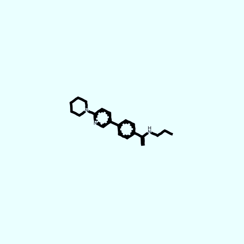 C=C(NCCC)c1ccc(-c2ccc(N3CCCCC3)nc2)cc1